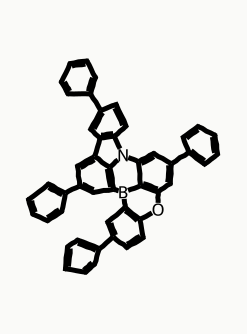 c1ccc(-c2ccc3c(c2)B2c4c(cc(-c5ccccc5)cc4-n4c5ccc(-c6ccccc6)cc5c5cc(-c6ccccc6)cc2c54)O3)cc1